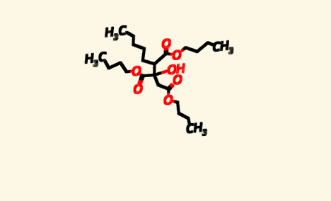 CCCCCC(C(=O)OCCCC)C(O)(CC(=O)OCCCC)C(=O)OCCCC